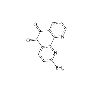 Bc1ccc2c(n1)-c1ncccc1C(=O)C2=O